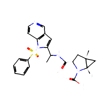 CC(NC(=O)[C@@H]1C[C@]2(C)C[C@@H]2N1C(=O)O)c1cc2cnccc2n1S(=O)(=O)c1ccccc1